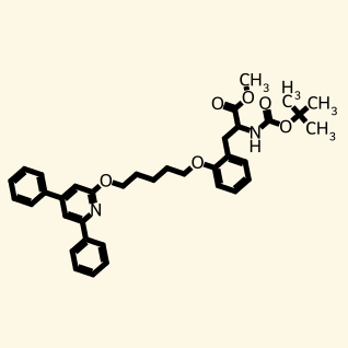 COC(=O)C(Cc1ccccc1OCCCCCOc1cc(-c2ccccc2)cc(-c2ccccc2)n1)NC(=O)OC(C)(C)C